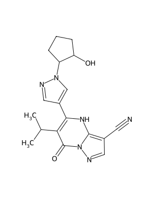 CC(C)c1c(-c2cnn(C3CCCC3O)c2)[nH]c2c(C#N)cnn2c1=O